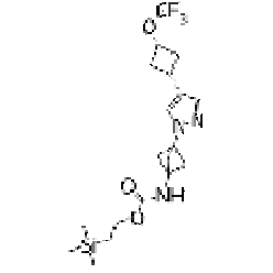 C[Si](C)(C)CCOC(=O)NC12CC(n3cc([C@H]4C[C@@H](OC(F)(F)F)C4)cn3)(C1)C2